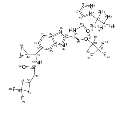 [2H]C([2H])([2H])C([2H])([2H])n1nccc1C(=O)N[C@@H](COC(C)(C)C(F)(F)F)c1nc2ccc([C@H](NC(=O)CC3CC(F)(F)C3)C3CC3)cc2[nH]1